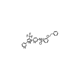 O=C(Nc1ccc(-n2nc(-c3cccnc3)cc2C(F)(F)F)nc1)c1cccc(OCCc2ccccc2)c1